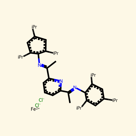 CC(=Nc1c(C(C)C)cc(C(C)C)cc1C(C)C)c1cccc(C(C)=Nc2c(C(C)C)cc(C(C)C)cc2C(C)C)n1.[Cl-].[Cl-].[Fe+2]